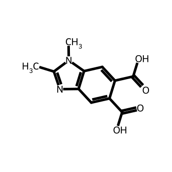 Cc1nc2cc(C(=O)O)c(C(=O)O)cc2n1C